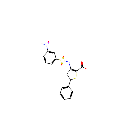 O=C(O)C1=C(NS(=O)(=O)c2cccc([N+](=O)[O-])c2)CC(c2ccccc2)S1